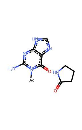 CC(=O)n1c(N)nc2[nH]cnc2c1=O.O=C1CCCN1